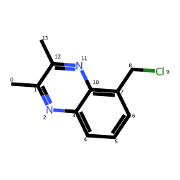 Cc1nc2cccc(CCl)c2nc1C